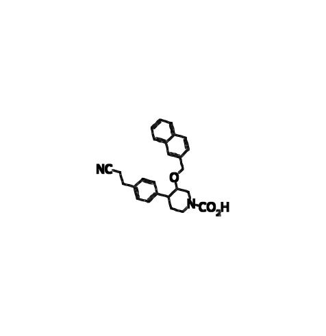 N#CCCc1ccc(C2CCN(C(=O)O)CC2OCc2ccc3ccccc3c2)cc1